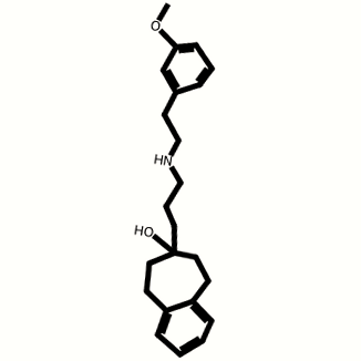 COc1cccc(CCNCCCC2(O)CCc3ccccc3CC2)c1